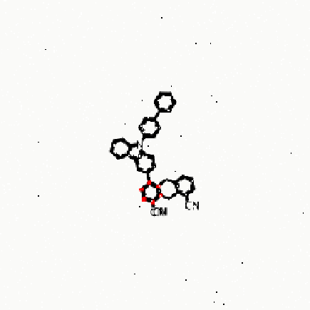 N#Cc1cccc2c1C1c3c(C#N)cccc3C2c2c(-c3ccc4c(c3)c3ccccc3n4-c3ccc(-c4ccccc4)cc3)ccc(C#N)c21